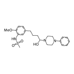 COc1ccc(CCCC(O)N2CCN(c3ccccc3)CC2)cc1NS(C)(=O)=O